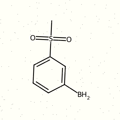 Bc1cccc(S(C)(=O)=O)c1